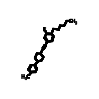 CCCCCCc1ccc(C#CC2CCC(c3ccc(C)cc3)CC2)cc1F